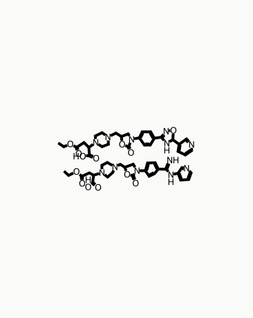 CCOC(=O)CC(C(=O)O)N1CCN(CC2CN(c3ccc(C(=N)Nc4cccnc4)cc3)C(=O)O2)CC1.CCOC(=O)CC(C(=O)O)N1CCN(CC2CN(c3ccc(C4=NOC(c5cccnc5)N4)cc3)C(=O)O2)CC1